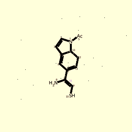 CC(=O)N1C=CC2=CC(/C(N)=C/S)=CCC21